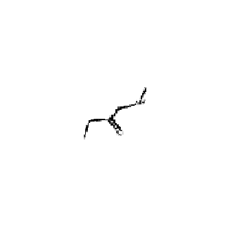 CCC(=O)CNC